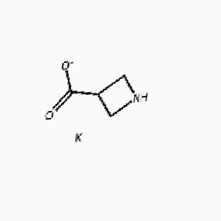 O=C([O-])C1CNC1.[K+]